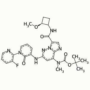 CO[C@H]1CCC1NC(=O)c1cnc2c(N(C)C(=O)OC(C)(C)C)cc(Nc3cccn(-c4ncccc4F)c3=O)nn12